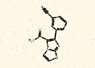 CC(=O)c1c(-c2cccc(C#N)c2)nc2sccn12